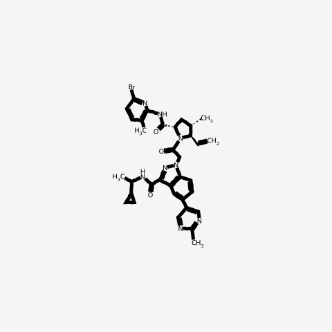 C=C[C@@H]1[C@@H](C)C[C@@H](C(=O)Nc2nc(Br)ccc2C)N1C(=O)Cn1nc(C(=O)NC(C)C2CC2)c2cc(-c3cnc(C)nc3)ccc21